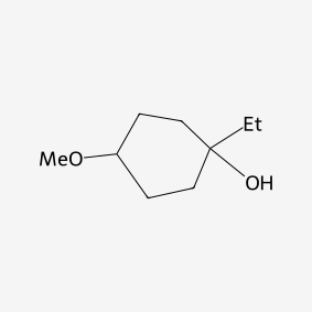 CCC1(O)CCC(OC)CC1